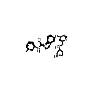 Cc1cccc(NC(=O)n2ccc3cc(Oc4cc(CNC5CCNC5)ncn4)ccc32)c1